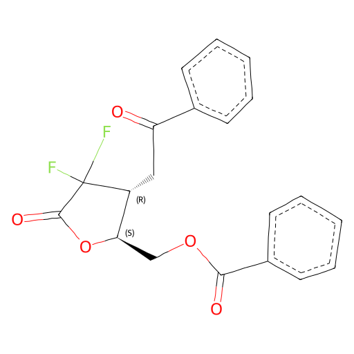 O=C(C[C@@H]1[C@@H](COC(=O)c2ccccc2)OC(=O)C1(F)F)c1ccccc1